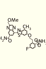 COCc1cnc2c(-c3nc4c(C)cc(OCCc5cc(F)ccc5S(N)(=O)=O)cc4s3)cc(C(N)=O)cc2n1